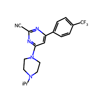 CC(C)N1CCN(c2cc(-c3ccc(C(F)(F)F)cc3)nc(C#N)n2)CC1